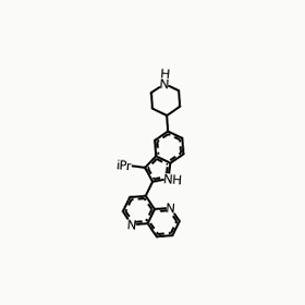 CC(C)c1c(-c2ccnc3cccnc23)[nH]c2ccc(C3CCNCC3)cc12